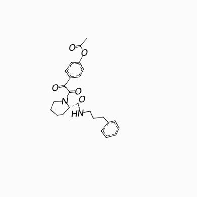 CC(=O)Oc1ccc(C(=O)C(=O)N2CCCC[C@H]2C(=O)NCCCc2ccccc2)cc1